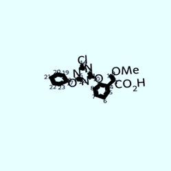 COC=C(C(=O)O)c1ccccc1Oc1nc(Cl)nc(Oc2ccccc2)n1